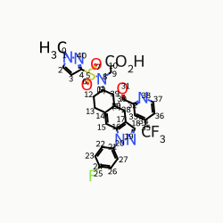 Cn1ccc(S(=O)(=O)N(CC(=O)O)[C@H]2CCC3=Cc4c(cnn4-c4ccc(F)cc4)C[C@]3(C(=O)c3cc(C(F)(F)F)ccn3)C2)n1